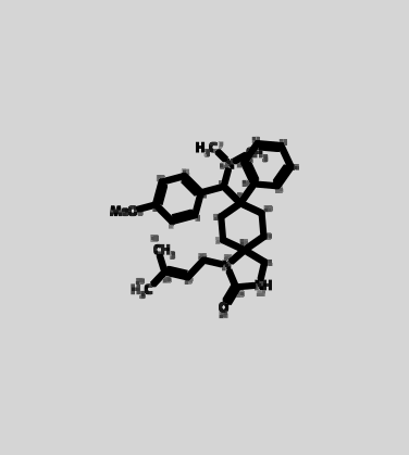 COc1ccc(C(N(C)C)C2(c3ccccc3)CCC3(CC2)CNC(=O)N3CC=C(C)C)cc1